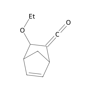 CCOC1C(=C=O)C2C=CC1C2